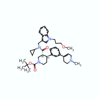 COCCCn1cc(CN(C(=O)[C@H]2CN(C(=O)OC(C)(C)C)CC[C@@H]2c2cccc(C3=CCN(C)CC3)c2)C2CC2)c2ccccc21